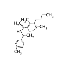 C=C(NC(=C)c1ccc(C)cc1)C1=C(C)C(CCCC)N(C)CC1